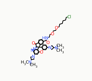 CN(C)C1CN(c2ccc3c(c2)Oc2cc(N4CC(N(C)C)C4)ccc2C32C(=[N+]=[N-])C(=O)c3ccc(C(=O)NCCOCCOCCCCCCCl)cc32)C1